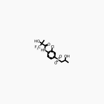 CC(O)CS(=O)(=O)c1ccc(NC(=O)C(C)(O)C(F)(F)F)c(Cl)c1